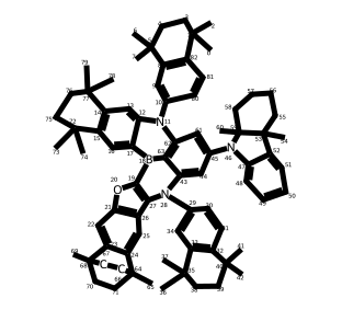 CC1(C)CCC(C)(C)c2cc(N3c4cc5c(cc4B4c6oc7cc8c(cc7c6N(c6ccc7c(c6)C(C)(C)CCC7(C)C)c6cc(N7c9ccccc9C9(C)CCCCC79C)cc3c64)C3(C)CCC8(C)CC3)C(C)(C)CCC5(C)C)ccc21